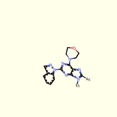 CCn1c(C(C)=O)nc2c(N3CCOCC3)nc(-n3ncc4ccccc43)nc21